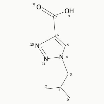 CC(C)Cn1cc(C(=O)O)nn1